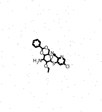 CCOC1C(Sc2cc(Cl)cnc2C#N)OC2COC(c3ccccc3)OC2C1N